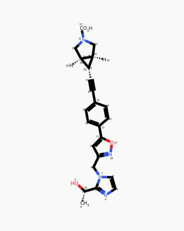 C[C@H](O)c1nccn1Cc1cc(-c2ccc(C#C[C@@H]3[C@H]4CN(C(=O)O)C[C@@H]34)cc2)on1